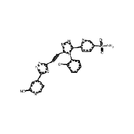 N#Cc1cc(-c2nnc(C#Cc3nnc(-c4ccc(S(N)(=O)=O)cn4)n3-c3ccccc3Cl)o2)ccn1